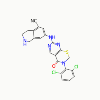 N#Cc1cc(Nc2ncc3c(n2)SCN(c2c(Cl)cccc2Cl)C3=O)cc2c1CCNC2